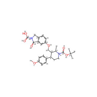 COc1ccc(C2CCN(C(=O)OC(C)(C)C)C(C)C2COc2ccc3c(c2)C(=O)N(C(=O)O)C3)cc1